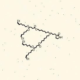 CC/C=C\CCCCOC(CCC(=O)OCCCCCCCN(CCCCCCCOC(=O)CCC(OCCCC/C=C\CC)OCCCC/C=C\CC)CCCN1CCNC1=O)OCCCC/C=C\CC